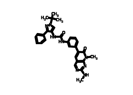 CNc1ncc2cc(-c3cccc(NC(=O)Nc4cn(C(C)(C)C)nc4-c4ccccc4)c3)c(=O)n(C)c2n1